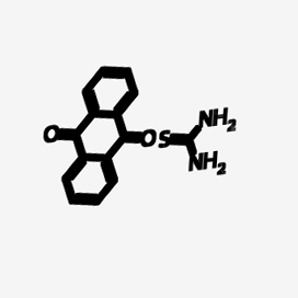 NC(N)=S.O=C1c2ccccc2C(=O)c2ccccc21